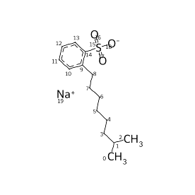 CC(C)CCCCCCc1ccccc1S(=O)(=O)[O-].[Na+]